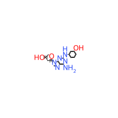 Nc1nc(Nc2cccc(O)c2)nc2c1ncn2[C@H]1C[C@@H](O)CO1